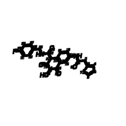 O=C(Cc1cccs1)Nc1ccc2c(c1)C(=O)N(O)C(=O)C2C(=O)NCc1ccc(F)cc1